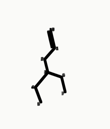 [CH]=CCC(CC)CC